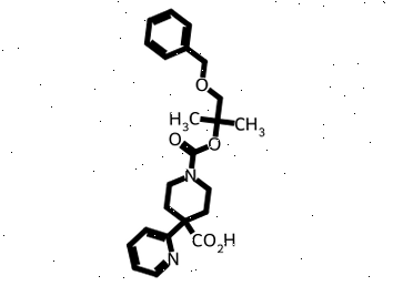 CC(C)(COCc1ccccc1)OC(=O)N1CCC(C(=O)O)(c2ccccn2)CC1